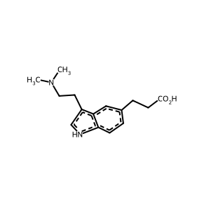 CN(C)CCc1c[nH]c2ccc(CCC(=O)O)cc12